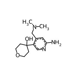 CN(C)Cc1cc(N)ncc1C1(O)CCOCC1